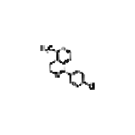 Cc1cccc2c1CCN=C2c1ccc(Cl)cc1